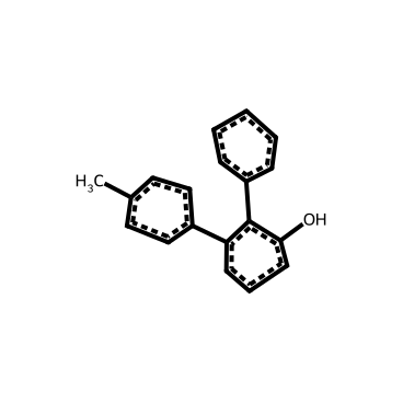 Cc1ccc(-c2cccc(O)c2-c2ccccc2)cc1